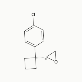 Clc1ccc(C2([C@@H]3CO3)CCC2)cc1